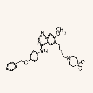 COc1cc2ncnc(Nc3ccc(OCc4ccccc4)cc3)c2cc1CCCCN1CCS(=O)(=O)CC1